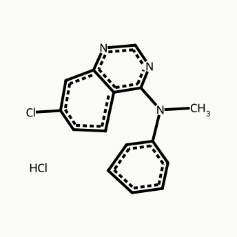 CN(c1ccccc1)c1ncnc2cc(Cl)ccc12.Cl